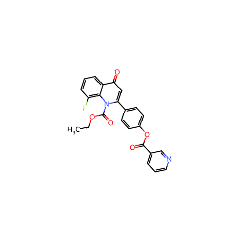 CCOC(=O)n1c(-c2ccc(OC(=O)c3cccnc3)cc2)cc(=O)c2cccc(F)c21